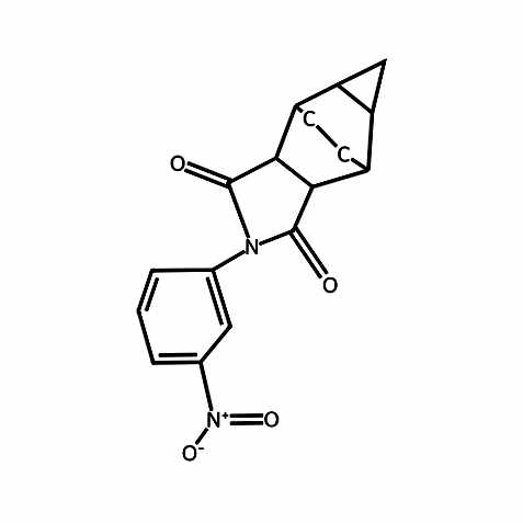 O=C1C2C3CCC(C4CC43)C2C(=O)N1c1cccc([N+](=O)[O-])c1